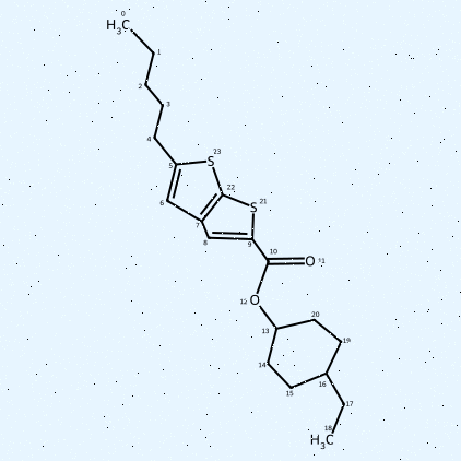 CCCCCc1cc2cc(C(=O)OC3CCC(CC)CC3)sc2s1